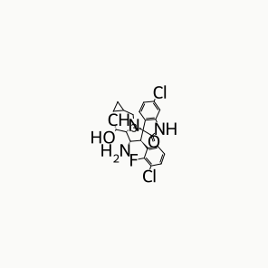 C[C@@H](O)[C@H]1[C@@H](N)[C@H](c2cccc(Cl)c2F)[C@]2(C(=O)Nc3cc(Cl)ccc32)N1CC1CC1